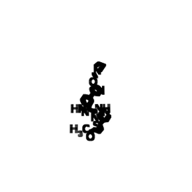 CC(=O)c1ccc(-c2ccnc3[nH]c(-c4n[nH]c5ccc(-c6cncc(OCCN7CCCC7)c6)cc45)nc23)s1